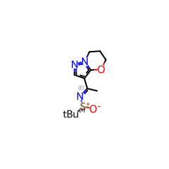 C/C(=N\[S@@+]([O-])C(C)(C)C)c1cnn2c1OCCC2